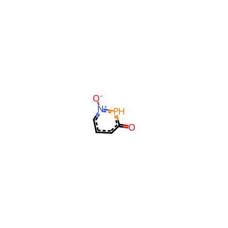 O=c1ccc[n+]([O-])[pH]1